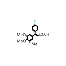 COc1cc(C(=CC(=O)O)c2ccc(F)cc2)cc(OC)c1OC